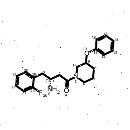 N[C@@H](CC(=O)N1CCCC(Oc2ccccc2)C1)Cc1ccccc1F